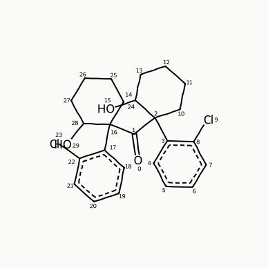 O=C(C1(c2ccccc2Cl)CCCCC1O)C1(c2ccccc2Cl)CCCCC1O